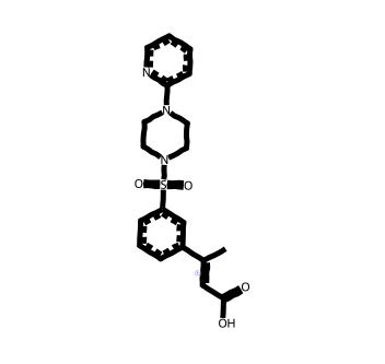 C/C(=C\C(=O)O)c1cccc(S(=O)(=O)N2CCN(c3ccccn3)CC2)c1